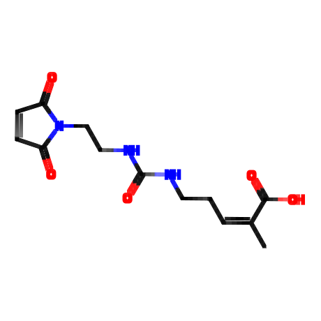 CC(=CCCNC(=O)NCCN1C(=O)C=CC1=O)C(=O)O